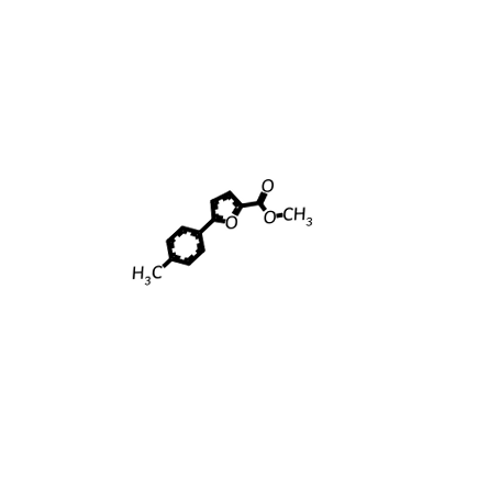 COC(=O)c1ccc(-c2ccc(C)cc2)o1